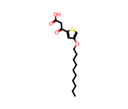 CCCCCCCCCCOc1csc(C(=O)CC(=O)O)c1